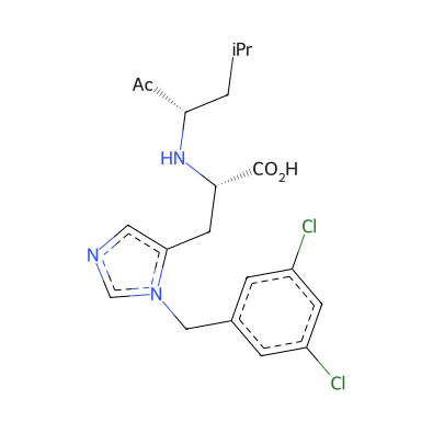 CC(=O)[C@H](CC(C)C)N[C@@H](Cc1cncn1Cc1cc(Cl)cc(Cl)c1)C(=O)O